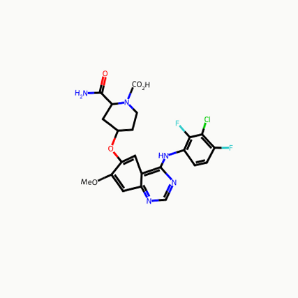 COc1cc2ncnc(Nc3ccc(F)c(Cl)c3F)c2cc1OC1CCN(C(=O)O)C(C(N)=O)C1